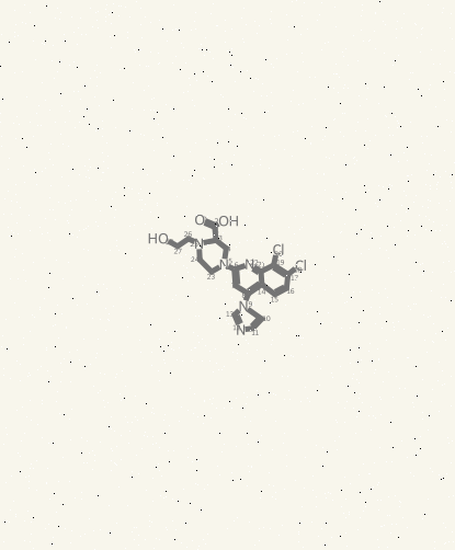 O=C(O)C1CN(c2cc(-n3ccnc3)c3ccc(Cl)c(Cl)c3n2)CCN1CCO